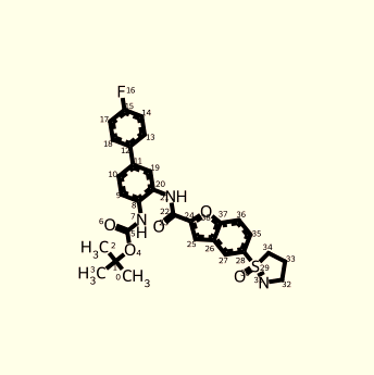 CC(C)(C)OC(=O)Nc1ccc(-c2ccc(F)cc2)cc1NC(=O)c1cc2cc(S3(=O)=NCCC3)ccc2o1